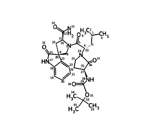 CC(C)C[C@@H](C(=O)N1C[C@]2(C[C@H]1C(N)=O)C(=O)Nc1ccccc12)N1CC[C@H](NC(=O)OC(C)(C)C)C1=O